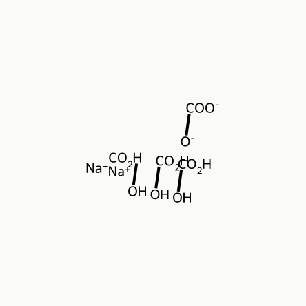 O=C(O)O.O=C(O)O.O=C(O)O.O=C([O-])[O-].[Na+].[Na+]